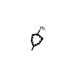 Cc1cc[c]([Pb])cc1